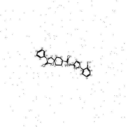 O=C1O[C@]2(CC[C@H](C(=O)Nc3ccn(-c4ccccc4F)n3)CC2)CN1c1ccccc1